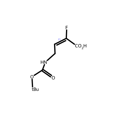 CC(C)(C)OC(=O)NC/C=C(/F)C(=O)O